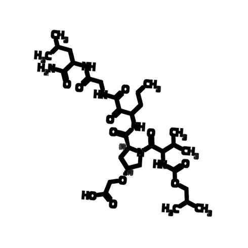 CCCC(NC(=O)[C@@H]1C[C@@H](OCC(=O)O)CN1C(=O)C(NC(=O)OCC(C)C)C(C)C)C(=O)C(=O)NCC(=O)NC(CC(C)C)C(N)=O